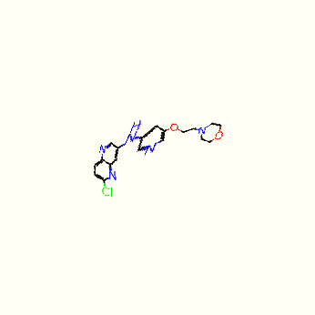 Clc1ccc2ncc(Nc3cncc(OCCN4CCOCC4)c3)cc2n1